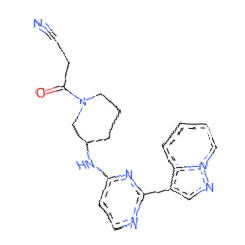 N#CCC(=O)N1CCCC(Nc2ccnc(-c3cnn4ccccc34)n2)C1